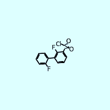 O=S(=O)(Cl)c1cccc(-c2ccccc2F)c1F